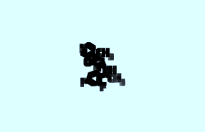 C[C@H](NC1=NC(=O)[C@](C)(c2ccncc2)S1)c1ccc(F)cc1F